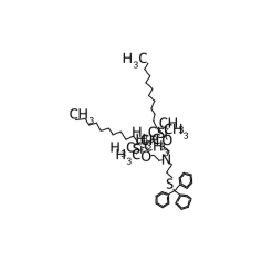 CCCCCCCCCCCC(C)(C)[Si](C)(C)OCCN(CCCSC(c1ccccc1)(c1ccccc1)c1ccccc1)CCO[Si](C)(C)C(C)(C)CCCCCCCCCCC